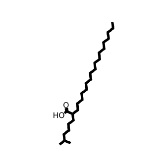 CCCCCCCCCCCCCCCCCCC(CCCCC(C)C)C(=O)O